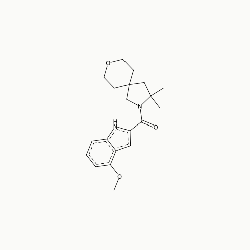 COc1cccc2[nH]c(C(=O)N3CC4(CCOCC4)CC3(C)C)cc12